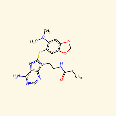 CCC(=O)NCCn1c(Sc2cc3c(cc2N(C)C)OCO3)nc2c(N)ncnc21